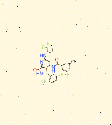 O=C(Nc1cc(NC2CCC2(F)F)nc2c1C(c1cc(F)ccc1Cl)NC2=O)c1cc(F)cc(C(F)(F)F)c1